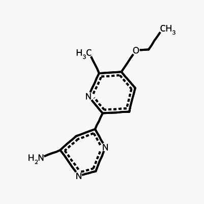 CCOc1ccc(-c2cc(N)ncn2)nc1C